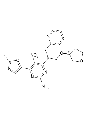 Cc1ccc(-c2nc(N)nc(N(CO[C@H]3CCOC3)Cc3ccccn3)c2[N+](=O)[O-])o1